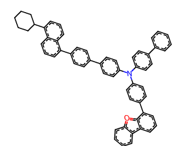 c1ccc(-c2ccc(N(c3ccc(-c4ccc(-c5cccc6c(C7CCCCC7)cccc56)cc4)cc3)c3ccc(-c4cccc5c4oc4ccccc45)cc3)cc2)cc1